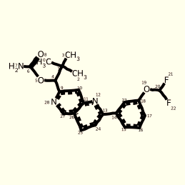 CC(C)(C)C(OC(N)=O)c1cc2nc(-c3cccc(OC(F)F)c3)ccc2cn1